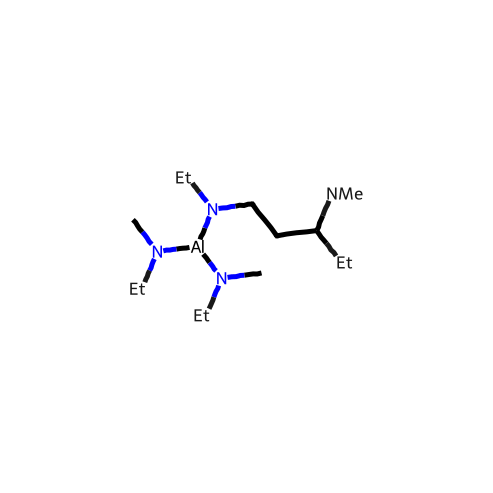 CCC(CC[N](CC)[Al]([N](C)CC)[N](C)CC)NC